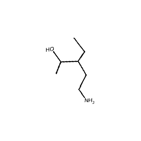 CCC(CCN)C(C)O